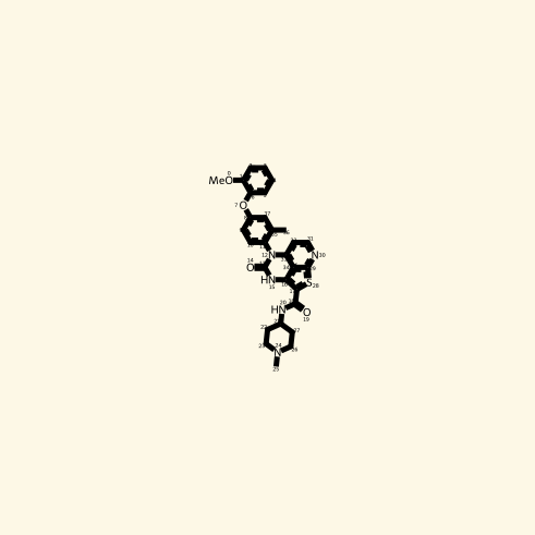 COc1ccccc1Oc1ccc(N2C(=O)Nc3c(C(=O)NC4CCN(C)CC4)sc4nccc2c34)c(C)c1